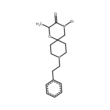 CCN1CC2(CCN(CCc3ccccc3)CC2)OC(C)C1=O